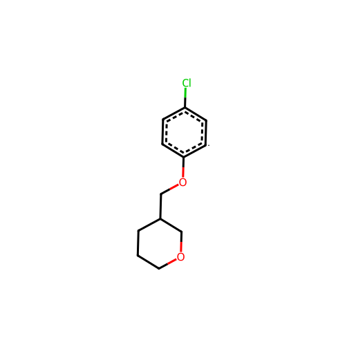 Clc1c[c]c(OCC2CCCOC2)cc1